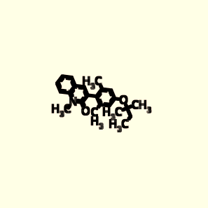 CCC(C)(C)Oc1cc(C)c(-c2cc3ccccc3n(C)c2=O)c(C)c1